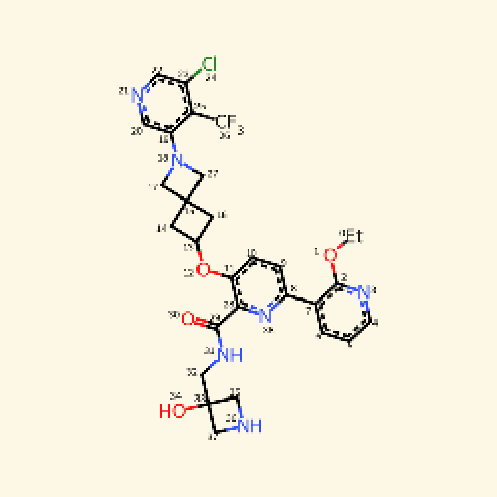 CCOc1ncccc1-c1ccc(OC2CC3(C2)CN(c2cncc(Cl)c2C(F)(F)F)C3)c(C(=O)NCC2(O)CNC2)n1